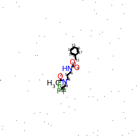 CC(=O)N(CCCNC(=O)OCc1ccccc1)CC(F)(F)F